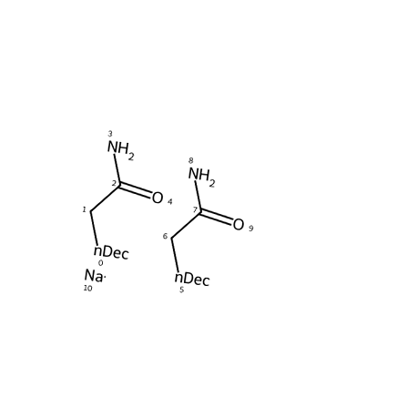 CCCCCCCCCCCC(N)=O.CCCCCCCCCCCC(N)=O.[Na]